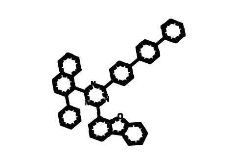 c1ccc(-c2ccc(-c3ccc(-c4nc(-c5c(-c6ccccc6)ccc6ccccc56)nc(-c5cccc6c5oc5ccccc56)n4)cc3)cc2)cc1